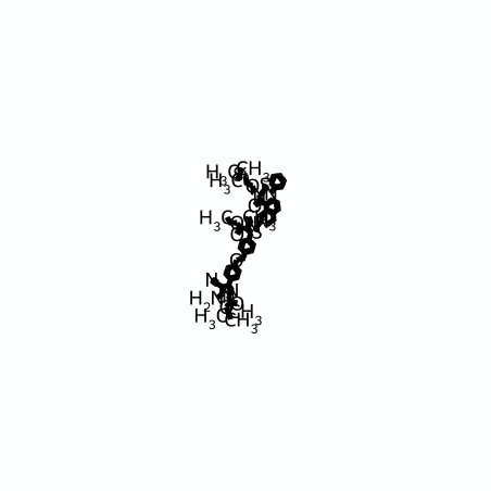 CCOC(=O)C1=C(c2ccc(COc3ccc(-c4nn(C(=O)OC(C)(C)C)c(N)c4C#N)cc3)cc2)SC(N2CCc3cccc(C(=O)N(COCC[Si](C)(C)C)c4nc5ccccc5s4)c3C2)N1C